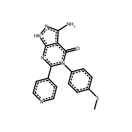 CSc1ccc(-n2c(-c3ccncc3)nc3[nH]nc(N)c3c2=O)cc1